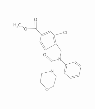 COC(=O)c1ccc(CN(C(=O)N2CCOCC2)c2ccccc2)c(Cl)c1